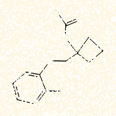 NC(=O)OC1(COc2cccnc2F)CCC1